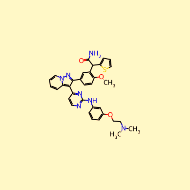 COc1ccc(-c2nn3ccccc3c2-c2ccnc(Nc3cccc(OCCN(C)C)c3)n2)cc1C(C(N)=O)c1cccs1